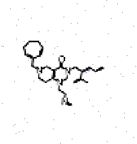 C=C/C=C(/CN1CN(CCN=C)C2=C(CN(CC3=CCCCC=C3)CC2)C1=O)C(=C)C